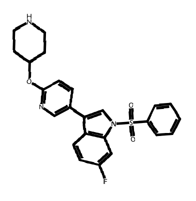 O=S(=O)(c1ccccc1)n1cc(-c2ccc(OC3CCNCC3)nc2)c2ccc(F)cc21